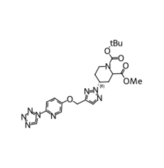 COC(=O)C1C[C@H](n2ncc(COc3ccc(-n4cnnn4)nc3)n2)CCN1C(=O)OC(C)(C)C